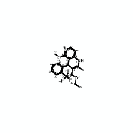 CCOC(=O)C1=C(C)Nc2ccnc(OC)c2C1c1ccccc1C(F)(F)F